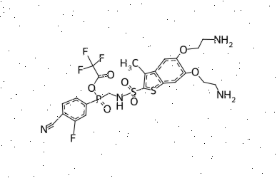 Cc1c(S(=O)(=O)NCP(=O)(OC(=O)C(F)(F)F)c2ccc(C#N)c(F)c2)sc2cc(OCCN)c(OCCN)cc12